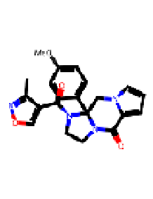 COc1ccc(C23Cn4cccc4C(=O)N2CCN3C(=O)c2conc2C)cc1